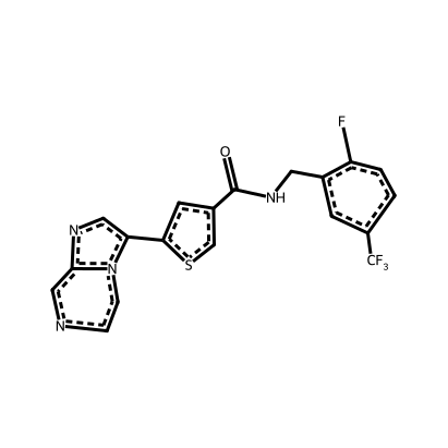 O=C(NCc1cc(C(F)(F)F)ccc1F)c1csc(-c2cnc3cnccn23)c1